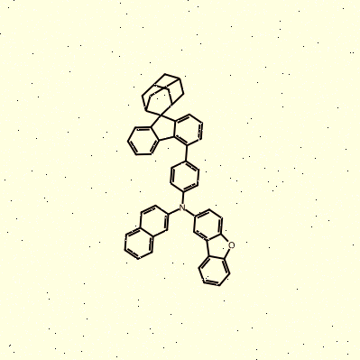 c1ccc2c(c1)-c1c(-c3ccc(N(c4ccc5ccccc5c4)c4ccc5oc6ccccc6c5c4)cc3)cccc1C21C2CC3CC(C2)CC1C3